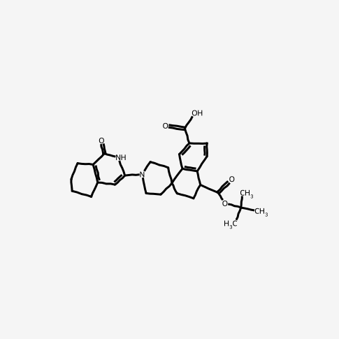 CC(C)(C)OC(=O)C1CCC2(CCN(c3cc4c(c(=O)[nH]3)CCCC4)CC2)c2cc(C(=O)O)ccc21